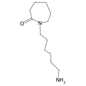 NCCCCCCN1CCCCCC1=O